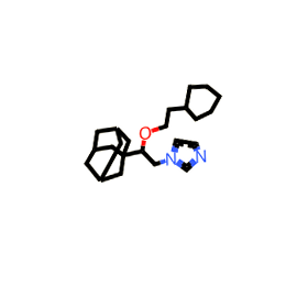 c1cn(CC(OCCC2CCCCC2)C23CC4CC(CC(C4)C2)C3)cn1